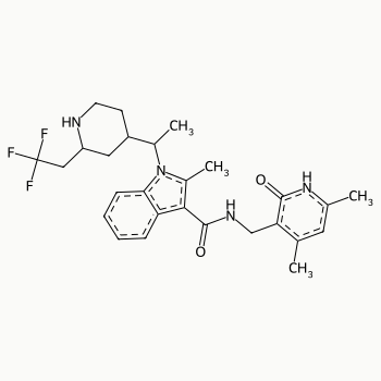 Cc1cc(C)c(CNC(=O)c2c(C)n(C(C)C3CCNC(CC(F)(F)F)C3)c3ccccc23)c(=O)[nH]1